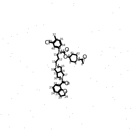 CC(=O)N1CCC(OC(=O)N(CCCN2CC3CN(C(=O)c4cccc5c4OCC5)CC3C2)c2ccc(C)c(Cl)c2)CC1